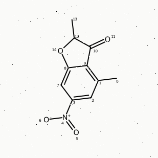 Cc1cc([N+](=O)[O-])cc2c1C(=O)C(C)O2